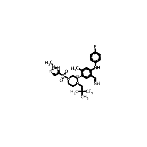 Cc1cc(Nc2ccc(F)cc2)c(C=N)cc1[C@@H]1CN(S(=O)(=O)c2cnn(C)n2)CCN1CC(C)(C)C(F)(F)F